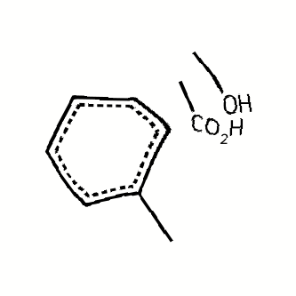 CC(=O)O.CO.Cc1ccccc1